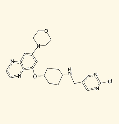 Clc1ncc(CN[C@H]2CC[C@@H](Oc3cc(N4CCOCC4)cc4nccnc34)CC2)cn1